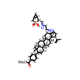 C=C(C)[C@@H]1CC[C@]2(NCCNC[C@@H]3C4CC4CS3(=O)=O)CC[C@]3(C)[C@H](CC[C@@H]4[C@@]5(C)CC=C(c6ccc(C(=O)OC)cc6)C(C)(C)[C@@H]5CC[C@]43C)[C@@H]12